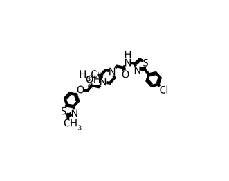 Cc1nc2cc(OC[C@H](O)CN3CCN(CC(=O)Nc4csc(-c5ccc(Cl)cc5)n4)C[C@@H]3C)ccc2s1